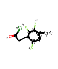 Cc1cc(F)c(CC(=O)Cl)c(F)c1F